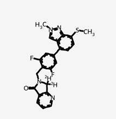 [2H]C1([2H])c2ncccc2C(=O)N1Cc1c(F)cc(-c2ccc(SC)c3nn(C)cc23)cc1F